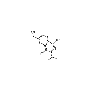 CC(C)n1nc(Br)c2ccc(CO)cc2c1=O